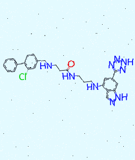 O=C(CCNCc1ccc(-c2ccccc2)c(Cl)c1)NCCCNc1cc(-c2nn[nH]n2)cc2[nH]ncc12